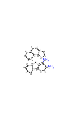 C1=Cc2ccc3ccccc3c2C1.Nc1ccc2c(c1N)Cc1ccccc1-2